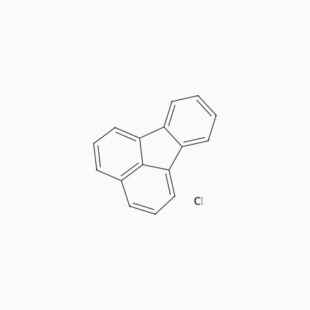 [C].c1ccc2c(c1)-c1cccc3cccc-2c13